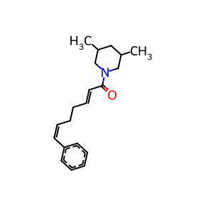 CC1CC(C)CN(C(=O)/C=C/CC/C=C\c2ccccc2)C1